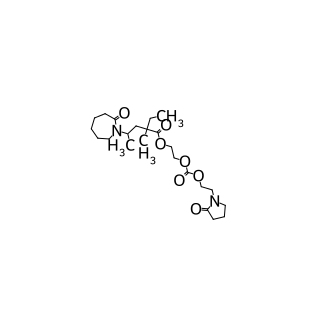 CCC(C)(CC(C)N1CCCCCC1=O)C(=O)OCCOC(=O)OCCN1CCCC1=O